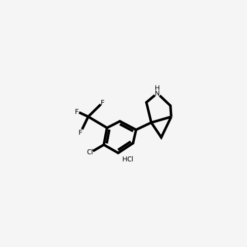 Cl.FC(F)(F)c1cc(C23CNCC2C3)ccc1Cl